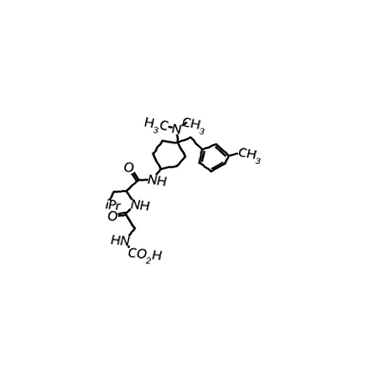 Cc1cccc(CC2(N(C)C)CCC(NC(=O)C(CC(C)C)NC(=O)CNC(=O)O)CC2)c1